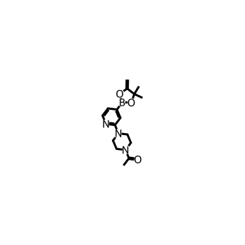 C=C1OB(c2ccnc(N3CCN(C(C)=O)CC3)c2)OC1(C)C